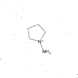 N[N+]1CCCC1